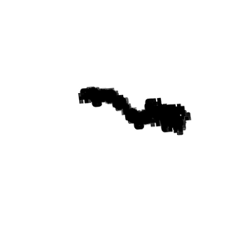 COc1cc2nc(C)nc(N[C@H](C)c3cc(N)cc(C(F)(F)F)c3)c2cc1C1CCC(C(=O)N2CCN(CCC3CCN(c4ccc5c(c4)CN(C4CCC(=O)NC4=O)C5)CC3)CC2)CC1